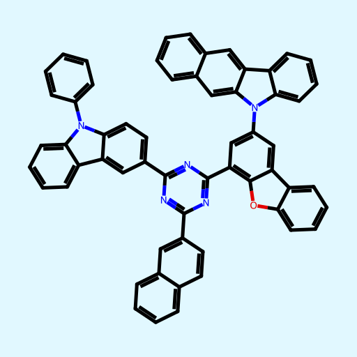 c1ccc(-n2c3ccccc3c3cc(-c4nc(-c5ccc6ccccc6c5)nc(-c5cc(-n6c7ccccc7c7cc8ccccc8cc76)cc6c5oc5ccccc56)n4)ccc32)cc1